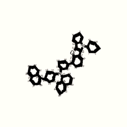 c1ccc(-n2c3ccccc3c3oc4c(-c5cccc(N(c6ccc(-c7cccc8ccccc78)cc6)c6cccc7ccccc67)c5)cccc4c32)cc1